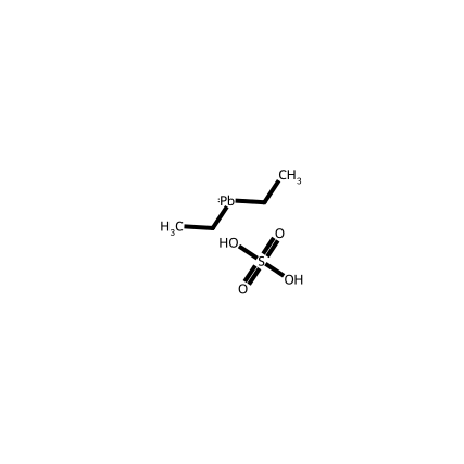 C[CH2][Pb][CH2]C.O=S(=O)(O)O